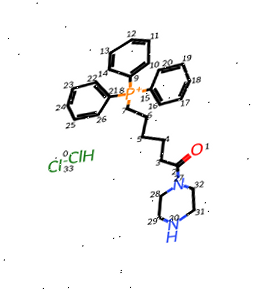 Cl.O=C(CCCCC[P+](c1ccccc1)(c1ccccc1)c1ccccc1)N1CCNCC1.[Cl-]